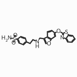 NS(=O)(=O)c1ccc(CCNCc2coc3cc(Oc4nc5ccccc5s4)ccc23)cc1